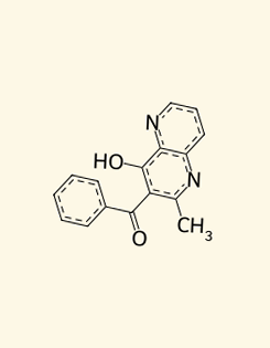 Cc1nc2cccnc2c(O)c1C(=O)c1ccccc1